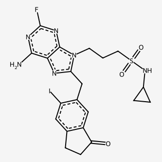 Nc1nc(F)nc2c1nc(Cc1cc3c(cc1I)CCC3=O)n2CCCS(=O)(=O)NC1CC1